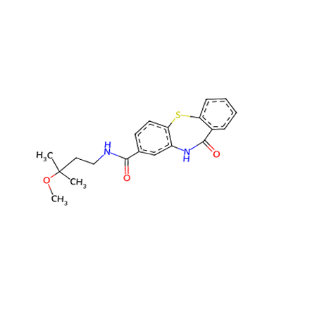 COC(C)(C)CCNC(=O)c1ccc2c(c1)NC(=O)c1ccccc1S2